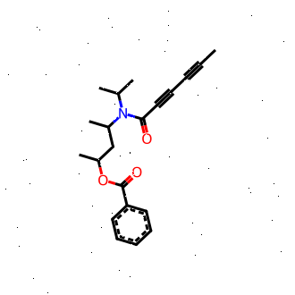 CC#CC#CC(=O)N(C(C)C)C(C)CC(C)OC(=O)c1ccccc1